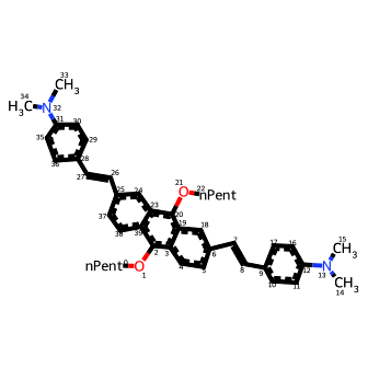 CCCCCOc1c2ccc(/C=C/c3ccc(N(C)C)cc3)cc2c(OCCCCC)c2cc(/C=C/c3ccc(N(C)C)cc3)ccc12